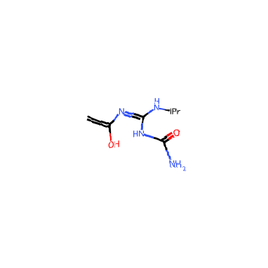 C=C(O)/N=C(\NC(N)=O)NC(C)C